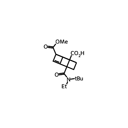 CCN(C(=O)C12CC3C4(C(=O)OC)C=C1C4C32C(=O)O)C(C)(C)C